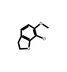 COc1ccc2c(c1Cl)OCC2